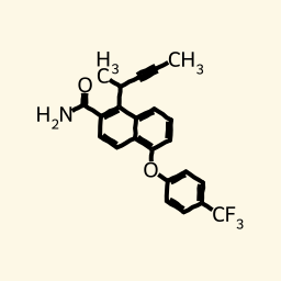 CC#CC(C)c1c(C(N)=O)ccc2c(Oc3ccc(C(F)(F)F)cc3)cccc12